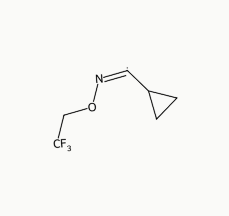 FC(F)(F)CO/N=[C]\C1CC1